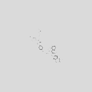 CCC1(O)C(=O)OCc2c1cc1n(c2=O)Cc2c-1nc1cc(F)c(C)c3c1c2C(NC(=O)OCc1ccc(NC(=O)C(CCCNC(N)=O)NC(=O)C(N)C(C)C)cc1)CC3